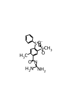 Cc1cc([S+]([O-])c2ccccc2)c(S(C)(=O)=O)cc1C(=O)N=C(N)N